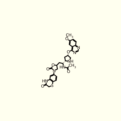 COc1ccc2ncnc(O[C@@H]3CN[C@H](C(CC4CN(c5ccc6c(c5)NC(=O)CS6)C(=O)O4)NC(C)=O)C3)c2c1